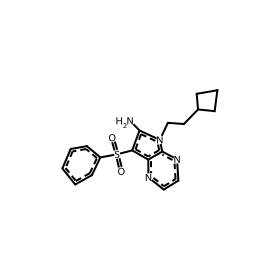 Nc1c(S(=O)(=O)c2ccccc2)c2nccnc2n1CCC1CCC1